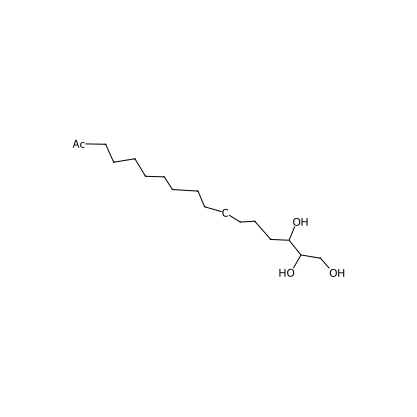 CC(=O)CCCCCCCCCCCCC(O)C(O)CO